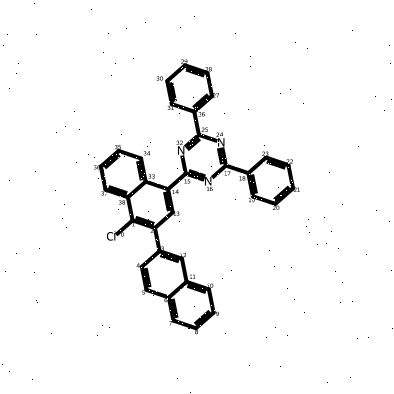 Clc1c(-c2ccc3ccccc3c2)cc(-c2nc(-c3ccccc3)nc(-c3ccccc3)n2)c2ccccc12